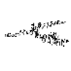 CCCCCCCCCCCCCCCCCC(=O)NC(COC(=O)CCCCCCCCCCCCCCCCC)COC(=O)CCC(=O)OCCC(C)(C)OCCC(C)(C)OC